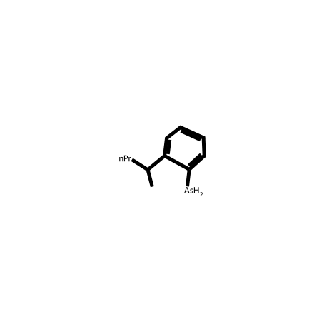 CCCC(C)c1ccccc1[AsH2]